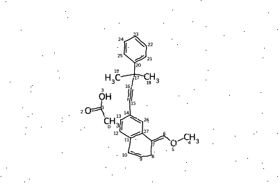 CC(=O)O.COC=C1CC=Cc2ccc(C#CC(C)(C)c3ccccc3)cc21